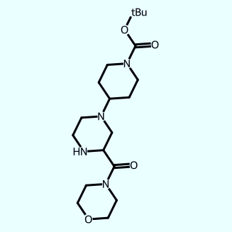 CC(C)(C)OC(=O)N1CCC(N2CCNC(C(=O)N3CCOCC3)C2)CC1